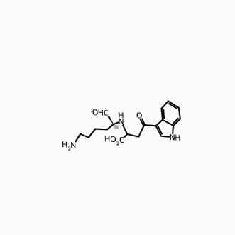 NCCCC[C@@H]([C]=O)NC(CC(=O)c1c[nH]c2ccccc12)C(=O)O